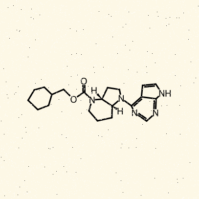 O=C(OCC1CCCCC1)N1CCC[C@@H]2[C@H]1CCN2c1ncnc2[nH]ccc12